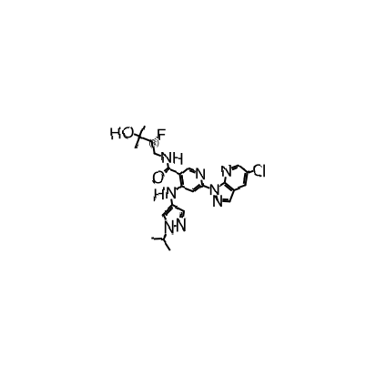 CC(C)n1cc(Nc2cc(-n3ncc4cc(Cl)cnc43)ncc2C(=O)NC[C@@H](F)C(C)(C)O)cn1